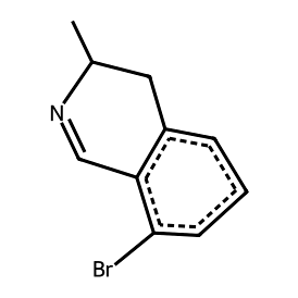 CC1Cc2cccc(Br)c2C=N1